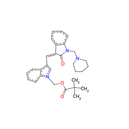 CC(C)(C)C(=O)OCn1cc(/C=C2\C(=O)N(CN3CCCCC3)c3ccccc32)c2ccccc21